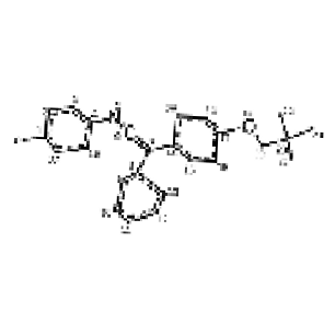 Cc1ccc(N=C=C(c2ccccc2)c2ccc(OCC(C)(C)C)cc2)cc1